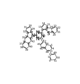 C1=CC(c2ccc3cc(-c4nc(-c5cccc6c5sc5ccccc56)nc(-n5c6ccccc6c6cc7ccccc7cc65)n4)ccc3c2)=CCC1